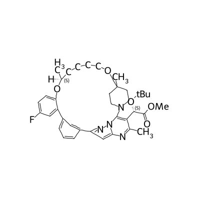 COC(=O)[C@@H](OC(C)(C)C)c1c(C)nc2cc3nn2c1N1CCC(C)(CC1)OCCCC[C@H](C)Oc1ccc(F)cc1-c1cccc-3c1